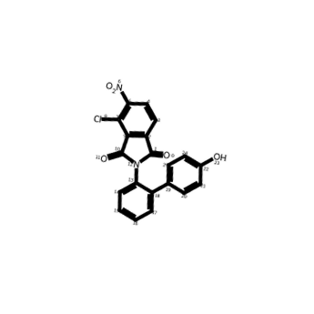 O=C1c2ccc([N+](=O)[O-])c(Cl)c2C(=O)N1c1ccccc1-c1ccc(O)cc1